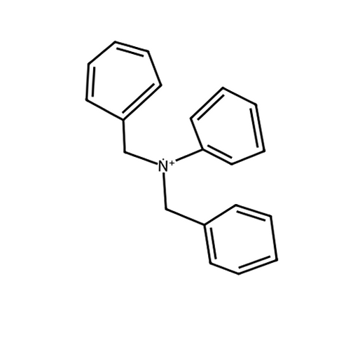 c1ccc(C[N+](Cc2ccccc2)c2ccccc2)cc1